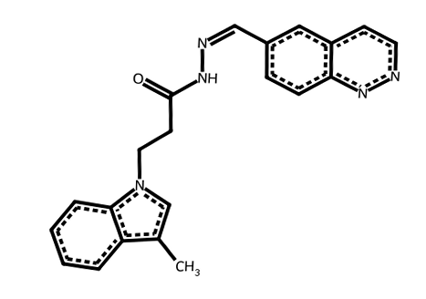 Cc1cn(CCC(=O)N/N=C\c2ccc3nnccc3c2)c2ccccc12